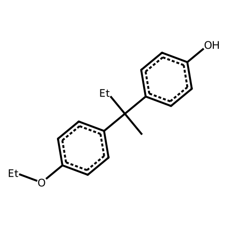 CCOc1ccc(C(C)(CC)c2ccc(O)cc2)cc1